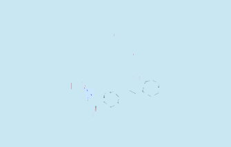 COCCOCCOc1ccccc1C=Cc1ccc(C(=O)C(C)=NO)cc1